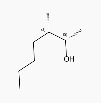 CCCC[C@H](C)[C@H](C)O